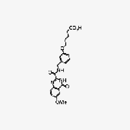 COc1ccc2nc(C(=O)NCc3cccc(OCCCCC(=O)O)c3)[nH]c(=O)c2c1